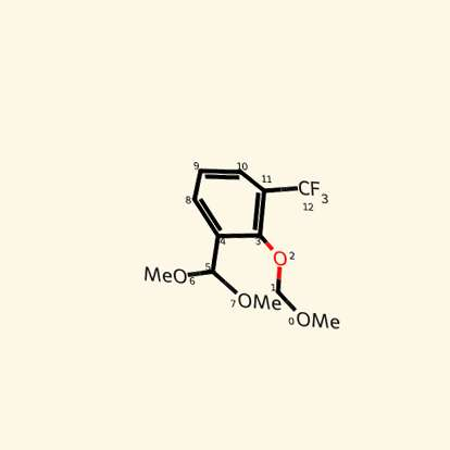 COCOc1c(C(OC)OC)cccc1C(F)(F)F